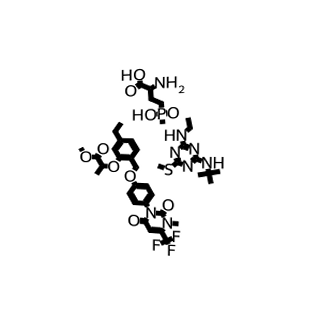 CCNc1nc(NC(C)(C)C)nc(SC)n1.CCc1ccc(COc2ccc(-n3c(=O)cc(C(F)(F)F)n(C)c3=O)cc2)c(OC(C)C(=O)OC)c1.CP(=O)(O)CCC(N)C(=O)O